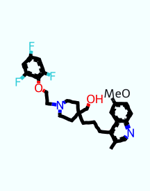 COc1ccc2ncc(C)c(CCCC3(CO)CCN(CCOc4c(F)cc(F)cc4F)CC3)c2c1